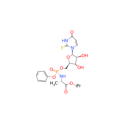 CC(C)OC(=O)[C@H](C)NP(=O)(OC[C@H]1O[C@@H](n2ccc(=O)[nH]c2=S)[C@@H](O)[C@H]1O)Oc1ccccc1